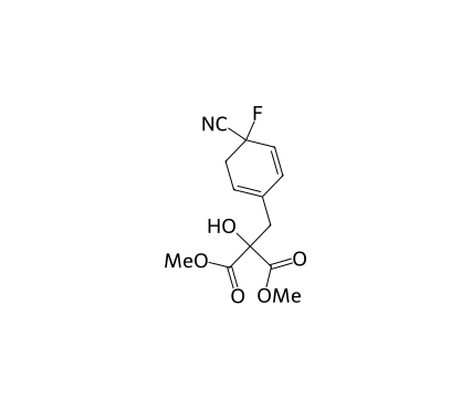 COC(=O)C(O)(CC1=CCC(F)(C#N)C=C1)C(=O)OC